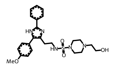 COc1ccc(-c2[nH]c(-c3ccccc3)nc2CCNS(=O)(=O)N2CCN(CCO)CC2)cc1